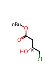 CCCCOC(=O)C[C@@H](O)CCl